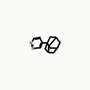 c1cc(C23CC4CC(CC(C4)C2)C3)cnn1